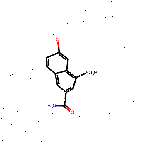 NC(=O)c1cc(S(=O)(=O)O)c2cc([O])ccc2c1